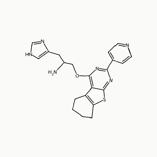 NC(COc1nc(-c2ccncc2)nc2sc3c(c12)CCCC3)Cc1c[nH]cn1